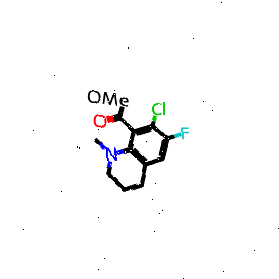 COC(=O)c1c(Cl)c(F)cc2c1N(C)CCC2